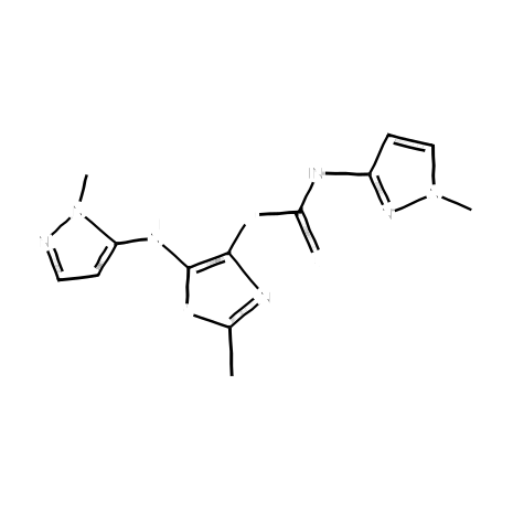 Cc1nc(OC(=O)Nc2ccn(C)n2)c(Nc2ccnn2C)s1